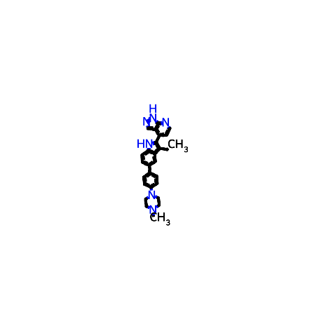 CCc1c(-c2ccnc3[nH]ncc23)[nH]c2ccc(-c3ccc(N4CCN(C)CC4)cc3)cc12